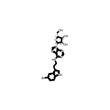 OC[C@H]1O[C@@H](n2cnc3c(NCCc4c[nH]c5ccc(Br)cc45)ncnc32)[C@H](O)[C@@H]1O